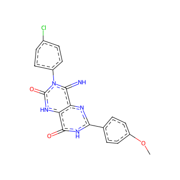 COc1ccc(-c2nc3c(=N)n(-c4ccc(Cl)cc4)c(=O)[nH]c3c(=O)[nH]2)cc1